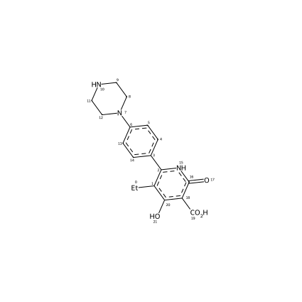 CCc1c(-c2ccc(N3CCNCC3)cc2)[nH]c(=O)c(C(=O)O)c1O